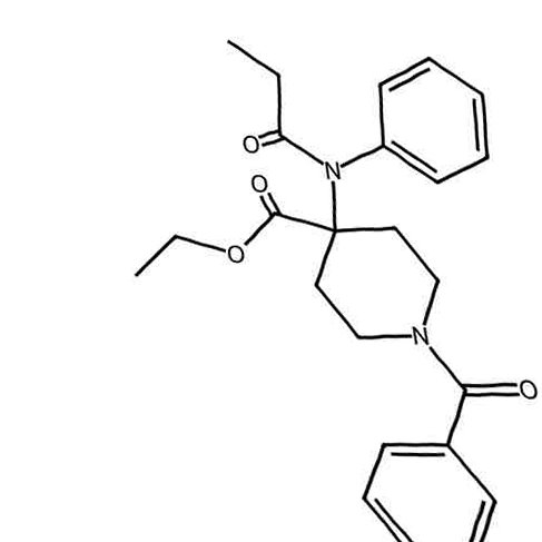 CCOC(=O)C1(N(C(=O)CC)c2ccccc2)CCN(C(=O)c2ccccc2)CC1